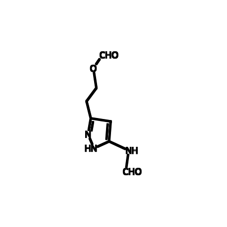 O=CNc1cc(CCOC=O)n[nH]1